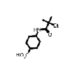 CCC(C)(C)C(=O)NC1CCC(C(=O)O)CC1